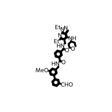 CCc1nc2c(cnn2CC)c(NC2CCOCC2)c1CNC(=O)c1cccc(C(=O)NCc2cc(OC)cc(-c3cccc(C=O)c3)c2)c1